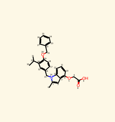 Cc1cc2c(OCC(=O)O)cccc2n1Cc1ccc(OCc2ccccc2)c(C(C)C)c1